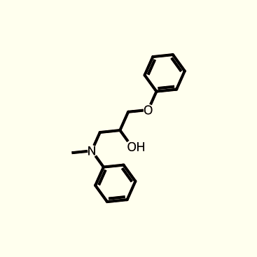 CN(CC(O)COc1ccccc1)c1ccccc1